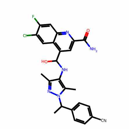 Cc1nn(C(C)c2ccc(C#N)cc2)c(C)c1NC(O)c1cc(C(N)=O)nc2cc(F)c(Cl)cc12